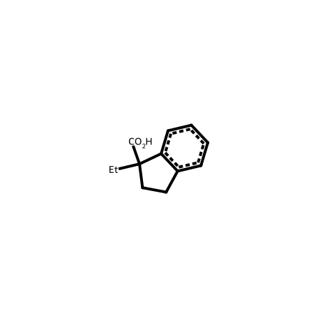 CCC1(C(=O)O)CCc2ccccc21